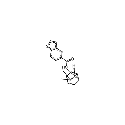 CC1(C)[C@H](NC(=O)c2ccc3sccc3c2)C2CCN1CC2